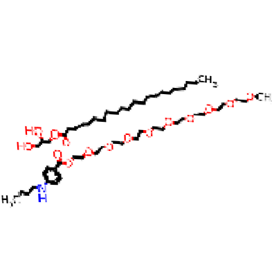 CCCCCCCCCCCCCCCCCCCCCC(=O)OCC(O)CO.CCCCNc1ccc(C(=O)OCCOCCOCCOCCOCCOCCOCCOCCOCCOC)cc1